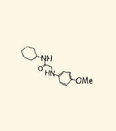 COc1ccc(NCC(=O)NC2CCCCC2)cc1